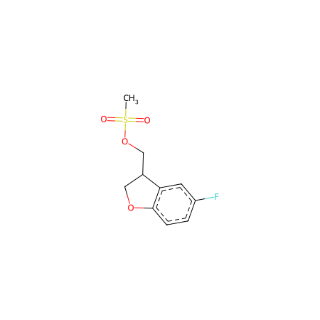 CS(=O)(=O)OCC1COc2ccc(F)cc21